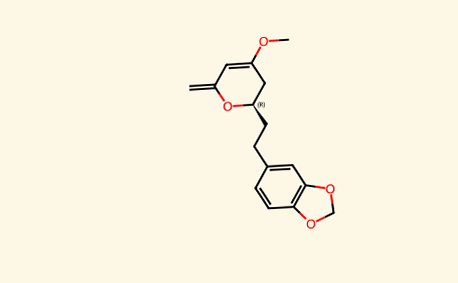 C=C1C=C(OC)C[C@@H](CCc2ccc3c(c2)OCO3)O1